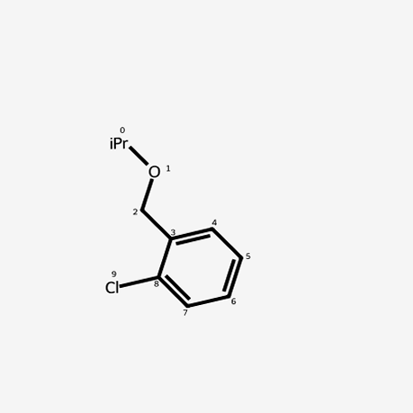 CC(C)OCc1ccccc1Cl